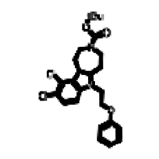 CC(C)(C)OC(=O)N1CCC2c3c(ccc(Cl)c3Cl)N(CCOc3ccccc3)C2CC1